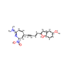 COc1ccc2oc(/C=C/C#CC3=CC([N+](=O)[O-])N=C(N(C)C)C=C3)cc2c1